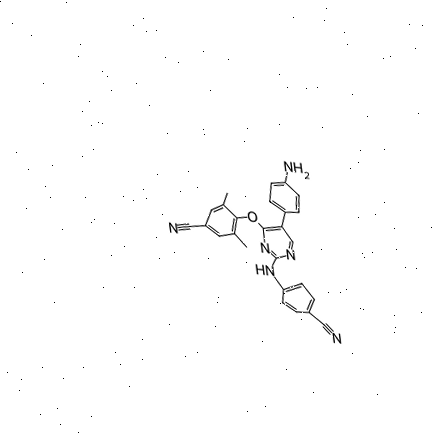 Cc1cc(C#N)cc(C)c1Oc1nc(Nc2ccc(C#N)cc2)ncc1-c1ccc(N)cc1